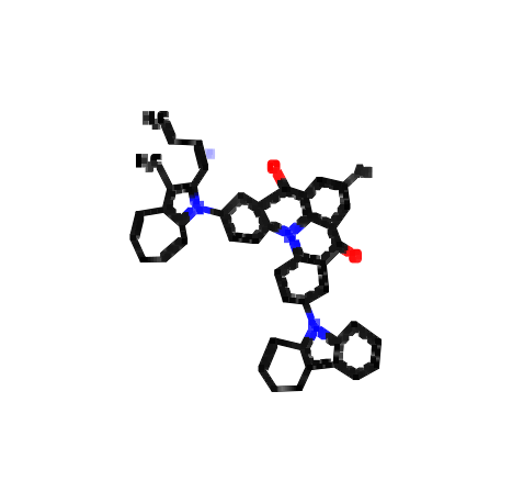 C=C/C=C\c1c(C)c2c(n1-c1ccc3c(c1)c(=O)c1cc(C(C)=O)cc4c(=O)c5cc(-n6c7c(c8ccccc86)CCC=C7)ccc5n3c14)C=CCC=C2